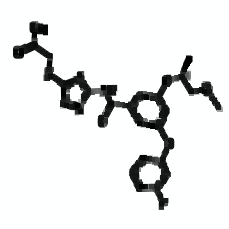 COC[C@H](C)Oc1cc(Oc2cccc(F)c2)cc(C(=O)Nc2ncc(SCC(=O)O)s2)c1